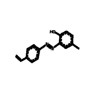 C=Cc1ccc(/N=N/c2cc(C)ccc2O)cc1